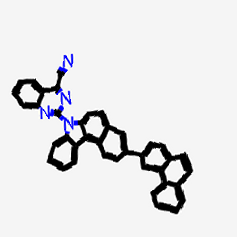 N#Cc1nc(-n2c3ccccc3c3c4ccc(-c5ccc6ccc7ccccc7c6c5)cc4ccc32)nc2ccccc12